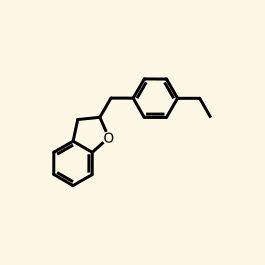 CCc1ccc(CC2Cc3ccccc3O2)cc1